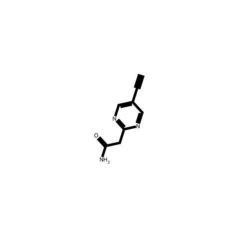 C#Cc1cnc(CC(N)=O)nc1